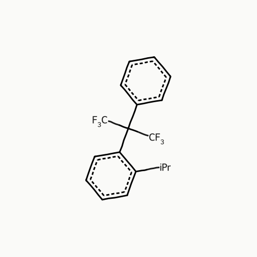 CC(C)c1ccccc1C(c1ccccc1)(C(F)(F)F)C(F)(F)F